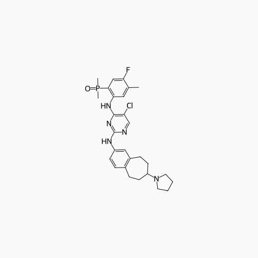 Cc1cc(Nc2nc(Nc3ccc4c(c3)CCC(N3CCCC3)CC4)ncc2Cl)c(P(C)(C)=O)cc1F